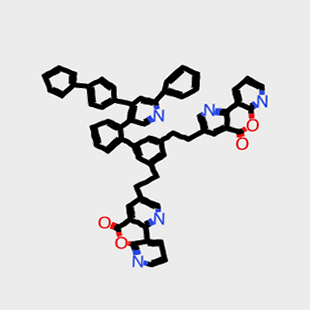 O=c1oc2ncccc2c2ncc(CCc3cc(CCc4cnc5c(c4)c(=O)oc4ncccc45)cc(-c4ccccc4-c4cnc(-c5ccccc5)cc4-c4ccc(-c5ccccc5)cc4)c3)cc12